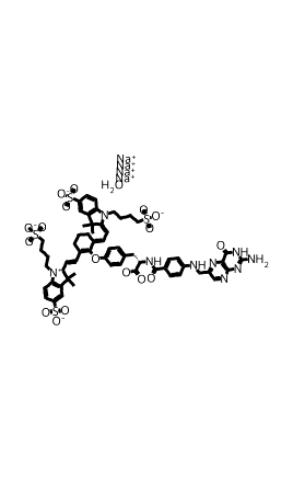 CC1(C)C(/C=C/C2=C(Oc3ccc(C[C@H](NC(=O)c4ccc(NCc5cnc6nc(N)[nH]c(=O)c6n5)cc4)C(=O)[O-])cc3)C(=C/C=C3/N(CCCCS(=O)(=O)[O-])c4ccc(S(=O)(=O)[O-])cc4C3(C)C)/CCC2)=[N+](CCCCS(=O)(=O)[O-])c2ccc(S(=O)(=O)[O-])cc21.O.[Na+].[Na+].[Na+].[Na+]